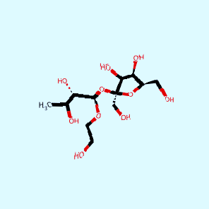 CC(O)[C@H](O)[C@H](OCCO)O[C@]1(CO)O[C@H](CO)[C@H](O)C1O